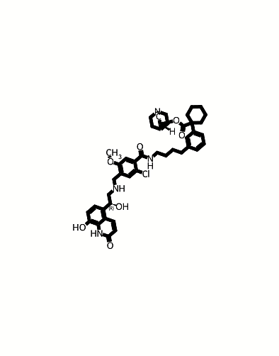 COc1cc(C(=O)NCCCCc2cccc(C3(C(=O)O[C@H]4CN5CCC4CC5)CCCCC3)c2)c(Cl)cc1CNC[C@H](O)c1ccc(O)c2[nH]c(=O)ccc12